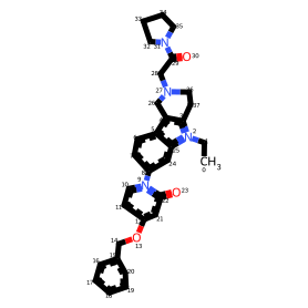 CCn1c2c(c3ccc(-n4ccc(OCc5ccccc5)cc4=O)cc31)CN(CC(=O)N1CCCC1)CC2